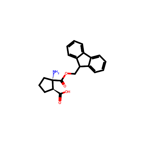 N[C@@]1(C(=O)OCC2c3ccccc3-c3ccccc32)CCC[C@@H]1C(=O)O